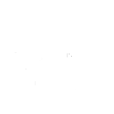 FC(F)(F)Oc1ccccc1CNCc1cccs1